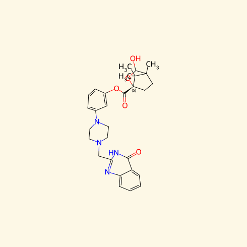 CC12CC[C@](C(=O)Oc3cccc(N4CCN(Cc5nc6ccccc6c(=O)[nH]5)CC4)c3)(OC1O)C2(C)C